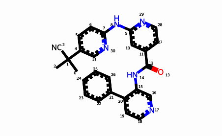 CC(C)(C#N)c1ccc(Nc2cc(C(=O)Nc3cnccc3-c3ccccc3)ccn2)nc1